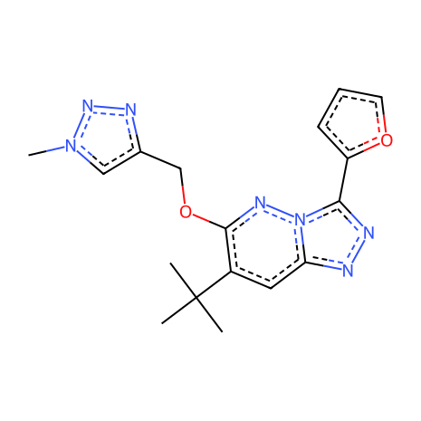 Cn1cc(COc2nn3c(-c4ccco4)nnc3cc2C(C)(C)C)nn1